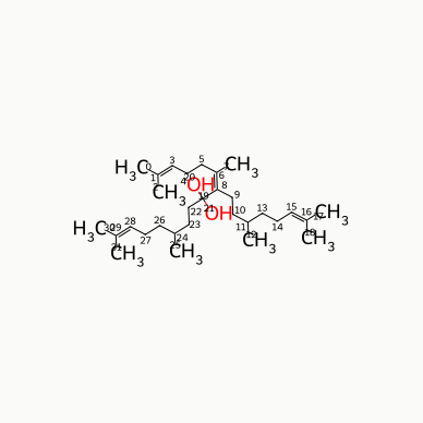 CC(C)=CCCC(C)=C(CCC(C)CCC=C(C)C)C(O)(O)CCC(C)CCC=C(C)C